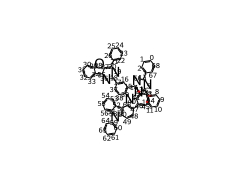 c1ccc(-c2nc(-c3ccccc3)nc(-c3cc(-c4nc(-c5ccccc5)c5oc6ccccc6c5n4)ccc3-n3c4ccccc4c4ccc5c(c6ccccc6n5-c5ccccc5)c43)n2)cc1